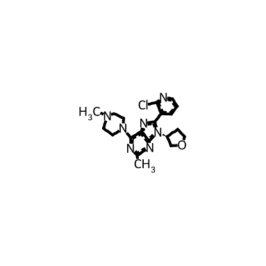 Cc1nc(N2CCN(C)CC2)c2nc(-c3cccnc3Cl)n([C@@H]3CCOC3)c2n1